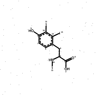 O=C(O)C(Cc1ccc(O)c(I)c1I)NI